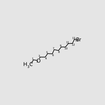 CCOCCCCCCCCCCCBr